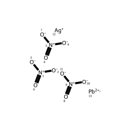 O=[N+]([O-])[O-].O=[N+]([O-])[O-].O=[N+]([O-])[O-].[Ag+].[Pb+2]